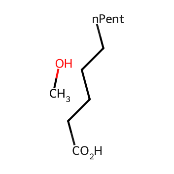 CCCCCCCCCC(=O)O.CO